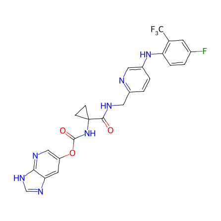 O=C(NC1(C(=O)NCc2ccc(Nc3ccc(F)cc3C(F)(F)F)cn2)CC1)Oc1cnc2[nH]cnc2c1